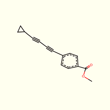 COC(=O)c1ccc(C#CC#CC2CC2)cc1